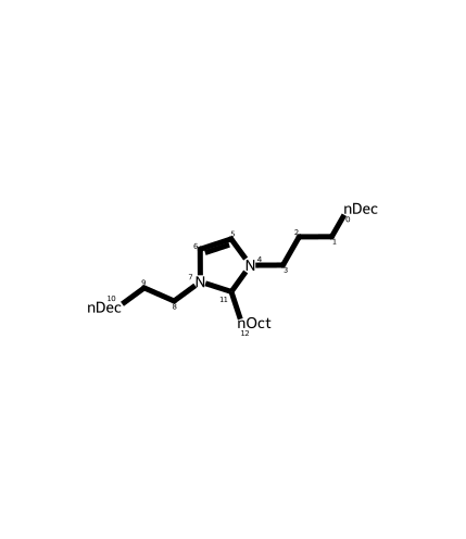 CCCCCCCCCCCCCN1C=CN(CCCCCCCCCCCC)C1CCCCCCCC